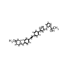 C[C@H](O)c1nccn1Cc1cc(-c2ccc(C#Cc3ccc(CN4CCN(C)CC4)cc3)cc2)on1